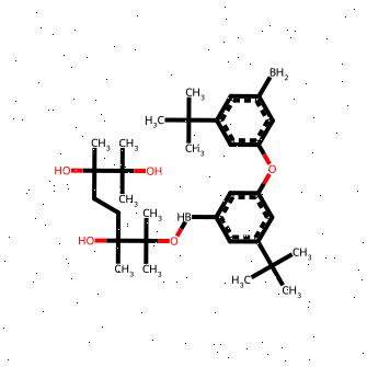 Bc1cc(Oc2cc(BOC(C)(C)C(C)(O)CCC(C)(O)C(C)(C)O)cc(C(C)(C)C)c2)cc(C(C)(C)C)c1